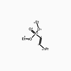 CCCC=CP(=O)(OCC)OCC